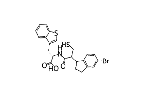 O=C(N[C@@H](Cc1csc2ccccc12)C(=O)O)C(CS)C1CCc2cc(Br)ccc21